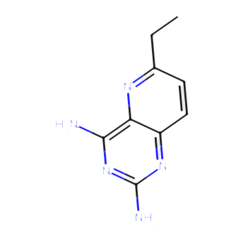 CCc1ccc2nc(N)nc(N)c2n1